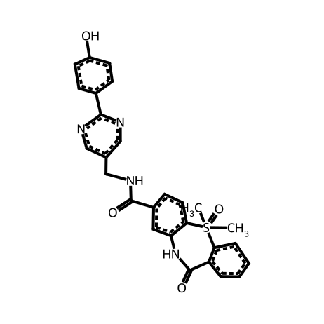 CS1(C)(=O)c2ccc(C(=O)NCc3cnc(-c4ccc(O)cc4)nc3)cc2NC(=O)c2ccccc21